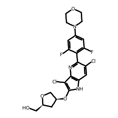 OC[C@@H]1C[C@H](Oc2[nH]c3cc(Cl)c(-c4c(F)cc(N5CCOCC5)cc4F)nc3c2Cl)CO1